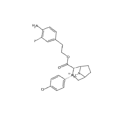 CN1C2CCC1C(C(=O)OCCc1ccc(N)c(I)c1)[C@@H](c1ccc(Cl)cc1)C2